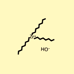 CCCCCCC[CH2][Zr+]([CH2]CCCCCCC)[CH2]CCCCCCC.[OH-]